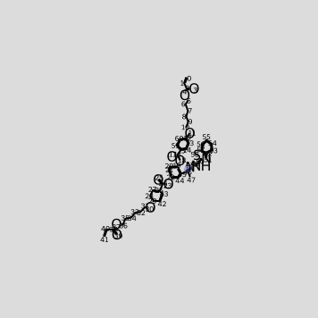 C=CC(=O)OCCCCCCOc1ccc(C(=O)Oc2ccc(OC(=O)C3=CCC(OCCCCCCOC(=O)C=C)C=C3)cc2/C(C)=N/Nc2nc3ccccc3s2)cc1